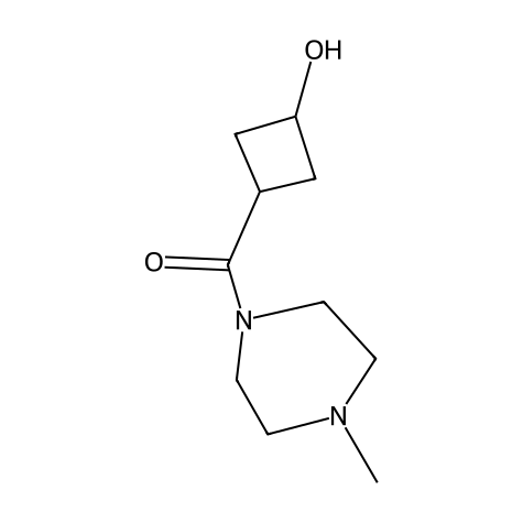 CN1CCN(C(=O)C2CC(O)C2)CC1